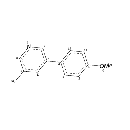 COc1ccc(-c2cncc(C)c2)cc1